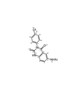 CC(=O)Nc1ccc2[nH]c(=S)n(-c3ccc(C(F)(F)F)cc3)c(=O)c2c1